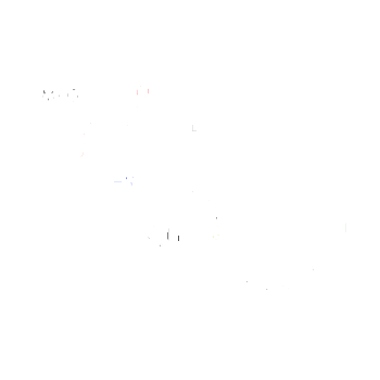 CCc1c(C(=O)C(=O)OC)[nH]c(C(=O)O)c1CSc1cccc(Cl)c1